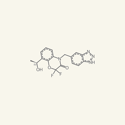 C[C@H](O)c1cccc2c1OC(F)(F)C(=O)N2Cc1ccc2[nH]nnc2c1